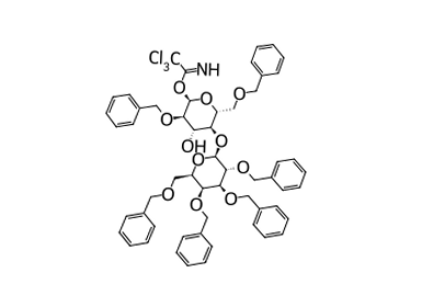 N=C(O[C@H]1O[C@H](COCc2ccccc2)[C@@H](O[C@@H]2O[C@H](COCc3ccccc3)[C@H](OCc3ccccc3)[C@H](OCc3ccccc3)[C@H]2OCc2ccccc2)[C@H](O)[C@H]1OCc1ccccc1)C(Cl)(Cl)Cl